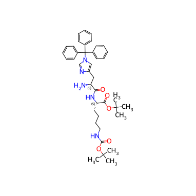 CC(C)(C)OC(=O)NCCCC[C@H](NC(=O)[C@@H](N)Cc1cn(C(c2ccccc2)(c2ccccc2)c2ccccc2)cn1)C(=O)OC(C)(C)C